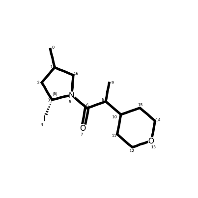 CC1C[C@@H](I)N(C(=O)C(C)C2CCOCC2)C1